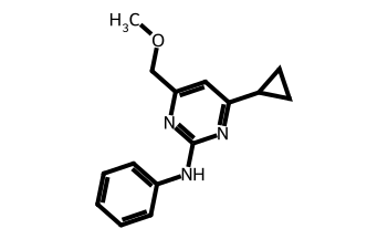 COCc1cc(C2CC2)nc(Nc2ccccc2)n1